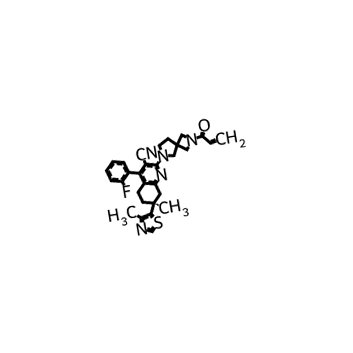 C=CC(=O)N1CC2(CCN(c3nc4c(c(-c5ccccc5F)c3C#N)CC[C@](C)(c3scnc3C)C4)C2)C1